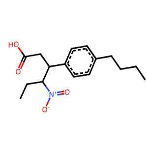 CCCCc1ccc(C(CC(=O)O)C(CC)[N+](=O)[O-])cc1